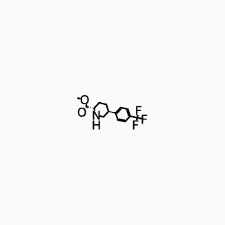 COC(=O)[C@@H]1CC[C@@H](c2ccc(C(F)(F)F)cc2)CN1